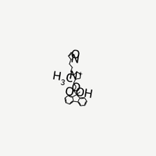 C[N@+]1(CCCc2ccon2)CCCC1COC(=O)C1(O)c2ccccc2-c2ccccc21